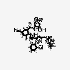 Cc1cc(C#N)cc(C(=O)NC2CS(=O)(=O)CC2O)c1NC(=O)c1cc(Cn2nnc(C(F)(F)F)n2)nn1-c1ccccc1Cl